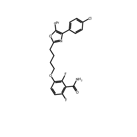 CCCc1oc(CCCCOc2ccc(F)c(C(N)=O)c2F)nc1-c1ccc(Cl)cc1